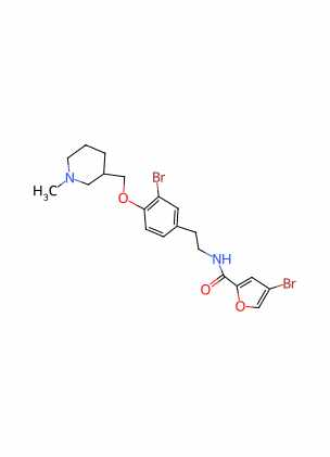 CN1CCCC(COc2ccc(CCNC(=O)c3cc(Br)co3)cc2Br)C1